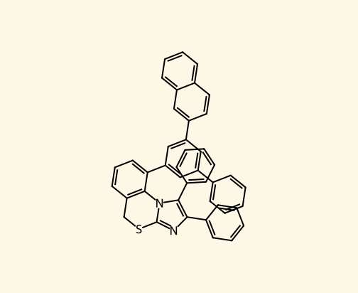 c1ccc(-c2cc(-c3ccc4ccccc4c3)cc(-c3cccc4c3-n3c(nc(-c5ccccc5)c3-c3ccccc3)SC4)c2)cc1